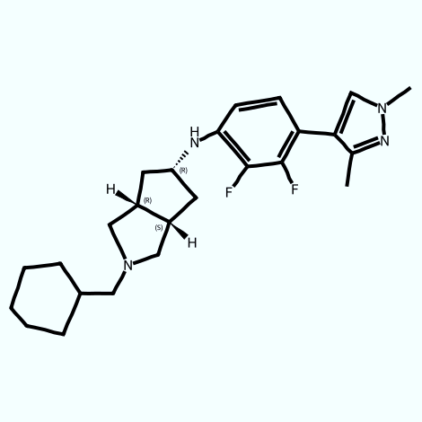 Cc1nn(C)cc1-c1ccc(N[C@@H]2C[C@@H]3CN(CC4CCCCC4)C[C@@H]3C2)c(F)c1F